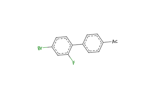 CC(=O)c1ccc(-c2ccc(Br)cc2F)cc1